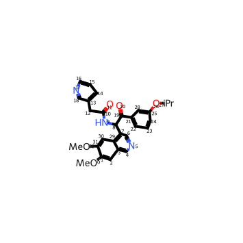 COc1cc2cncc(C(NC(=O)Cc3cccnc3)C(=O)c3cccc(OC(C)C)c3)c2cc1OC